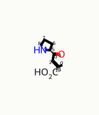 CC(=CC(=O)[C@@H]1CCCN1)C(=O)O